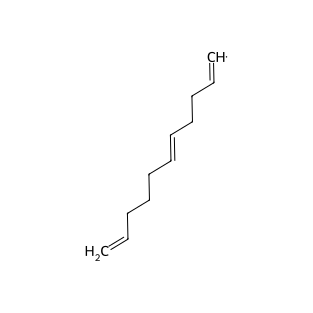 [CH]=CCCC=CCCCC=C